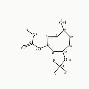 CSC(=O)OC1/C=C/C(O)CCC(OC(C)(C)C)C1